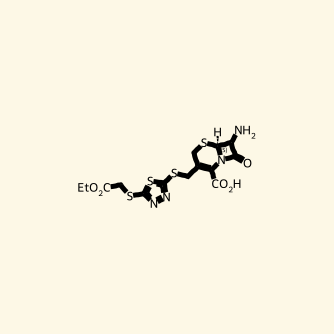 CCOC(=O)CSc1nnc(SCC2=C(C(=O)O)N3C(=O)C(N)[C@@H]3SC2)s1